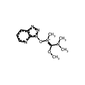 CO/C(N(C)C)=[N+](/C)On1nnc2cccnc21